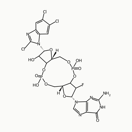 Nc1nc2c(ncn2[C@@H]2O[C@@H]3COP(=O)(O)OC4C(O)[C@H](n5c(Cl)nc6cc(Cl)c(Cl)cc65)O[C@@H]4COP(=O)(O)OC3C2F)c(=O)[nH]1